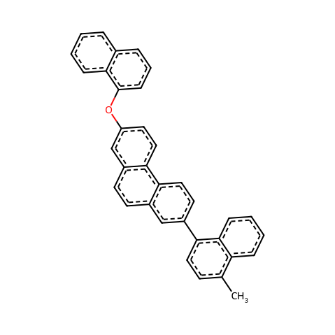 Cc1ccc(-c2ccc3c(ccc4cc(Oc5cccc6ccccc56)ccc43)c2)c2ccccc12